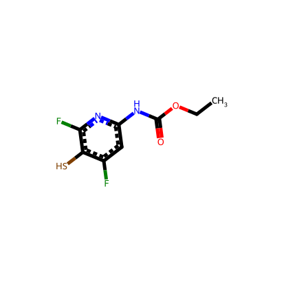 CCOC(=O)Nc1cc(F)c(S)c(F)n1